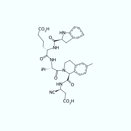 Cc1ccc2c(c1)CCN(C(=O)[C@@H](NC(=O)[C@H](CCCC(=O)O)NC(=O)[C@@H]1Cc3ccccc3N1)C(C)C)[C@@H]2C(=O)N[C@H](C#N)CC(=O)O